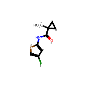 O=C(O)C1(C(=O)Nc2cc(F)cs2)CC1